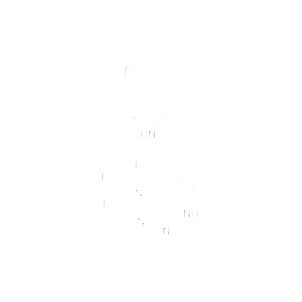 Cc1c(NS(=O)(=O)c2cc(F)cc(F)c2)cccc1C(=O)c1cn(C(C)C)c2ncnc(N)c12